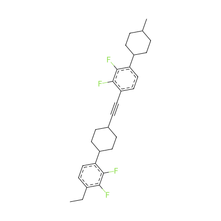 CCc1ccc(C2CCC(C#Cc3ccc(C4CCC(C)CC4)c(F)c3F)CC2)c(F)c1F